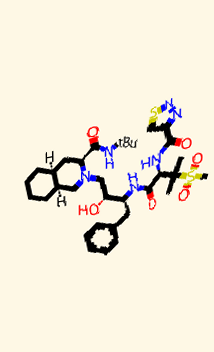 CC(C)(C)NC(=O)[C@@H]1C[C@@H]2CCCC[C@@H]2CN1C[C@@H](O)[C@H](Cc1ccccc1)NC(=O)[C@@H](NC(=O)c1csnn1)C(C)(C)S(C)(=O)=O